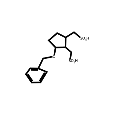 O=S(=O)(O)C[C]1CCC(OCc2ccccc2)C1CS(=O)(=O)O